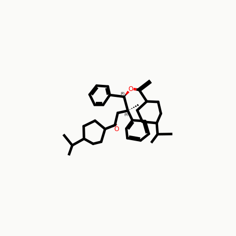 C=C(O[C@H](c1ccccc1)[C@](C)(CC(=O)C1CCC(C(C)C)CC1)c1ccccc1)C1CCC(C(C)C)CC1